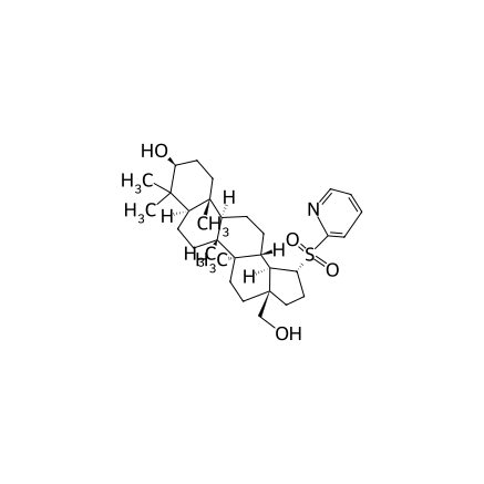 CC1(C)[C@@H](O)CC[C@]2(C)[C@H]3CC[C@@H]4[C@H]5[C@H](S(=O)(=O)c6ccccn6)CC[C@]5(CO)CC[C@@]4(C)[C@]3(C)CC[C@@H]12